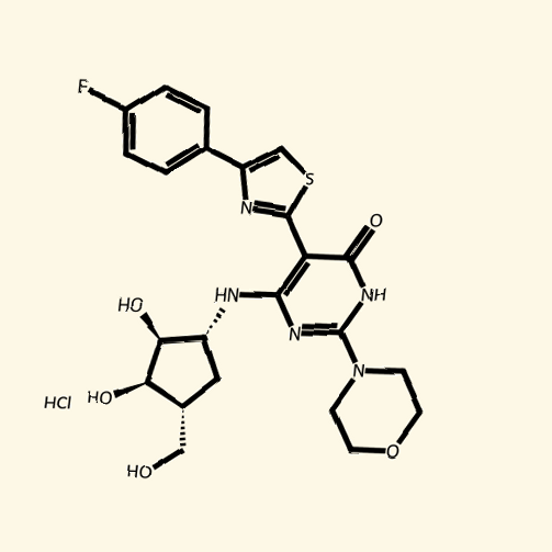 Cl.O=c1[nH]c(N2CCOCC2)nc(N[C@@H]2C[C@H](CO)[C@@H](O)[C@H]2O)c1-c1nc(-c2ccc(F)cc2)cs1